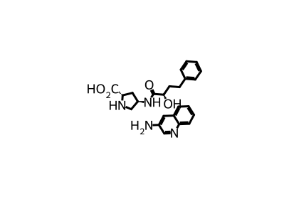 Nc1cnc2ccccc2c1.O=C(N[C@H]1CN[C@H](C(=O)O)C1)[C@H](O)CCc1ccccc1